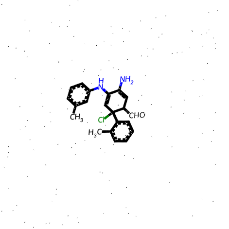 Cc1cccc(NC2=CC(Cl)(c3ccccc3C)C(C=O)C=C2N)c1